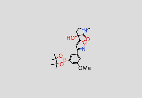 COc1cc(B2OC(C)(C)C(C)(C)O2)cc(-c2cc(C3(O)CCN(C)C3=O)on2)c1